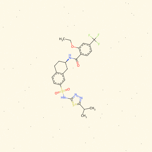 CCOc1cc(C(F)(F)F)ccc1C(=O)N[C@@H]1CCc2ccc(S(=O)(=O)Nc3nnc(C(C)C)s3)cc2C1